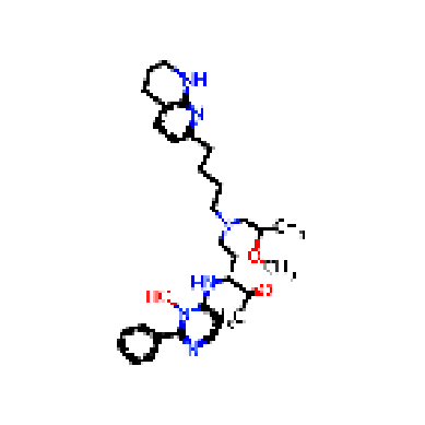 CO[C@H](C)CN(CCCCc1ccc2c(n1)NCCC2)CC[C@H](Nc1ccnc(-c2ccccc2)[n+]1O)C(C)=O